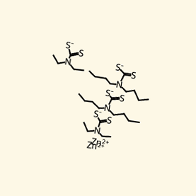 CCCCN(CCCC)C(=S)[S-].CCCCN(CCCC)C(=S)[S-].CCN(CC)C(=S)[S-].CCN(CC)C(=S)[S-].[Zn+2].[Zn+2]